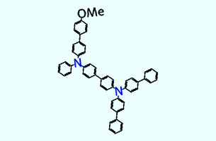 COc1ccc(-c2ccc(N(c3ccccc3)c3ccc(-c4ccc(N(c5ccc(-c6ccccc6)cc5)c5ccc(-c6ccccc6)cc5)cc4)cc3)cc2)cc1